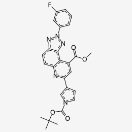 COC(=O)c1cc(-c2ccn(C(=O)OC(C)(C)C)c2)nc2ccc3nn(-c4cccc(F)c4)nc3c12